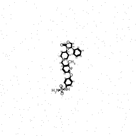 Cc1nc(Oc2ccc(NS(N)(=O)=O)cc2)ccc1CN1CCC(N2C(=O)OC[C@H]2c2ccccc2)CC1